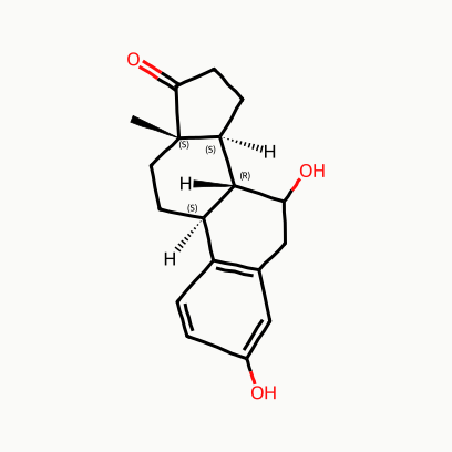 C[C@]12CC[C@@H]3c4ccc(O)cc4CC(O)[C@H]3[C@@H]1CCC2=O